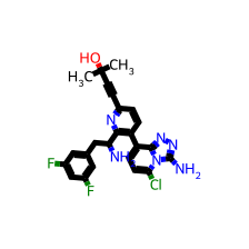 CC(C)(O)C#Cc1ccc(-c2ccc(Cl)n3c(N)nnc23)c(C(N)Cc2cc(F)cc(F)c2)n1